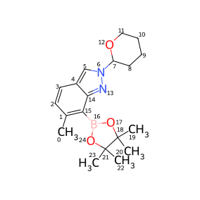 Cc1ccc2cn(C3CCCCO3)nc2c1B1OC(C)(C)C(C)(C)O1